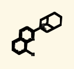 CN1C2CCCC1CN(c1ccc3cccc(Cl)c3n1)C2